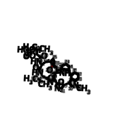 CC(C)[C@H](OP(=O)(O)O)C(=O)N[C@H]1Cc2ccc3c(c2)[C@]24c5cccc(c5NC2O3)-c2cccc3c2c(cn3C)-c2cnc(o2)-c2nc(oc24)[C@H](C(C)C)NC1=O